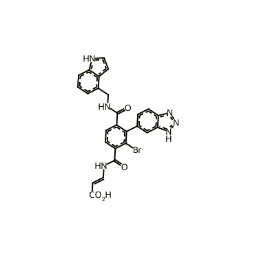 O=C(O)C=CNC(=O)c1ccc(C(=O)NCc2cccc3[nH]ccc23)c(-c2ccc3nn[nH]c3c2)c1Br